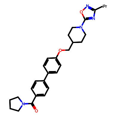 CC(C)c1noc(N2CCC(COc3ccc(-c4ccc(C(=O)N5CCCC5)cc4)cc3)CC2)n1